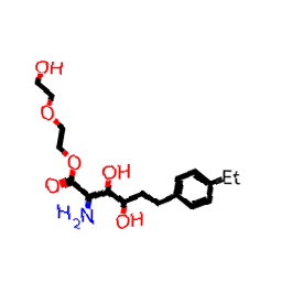 CCc1ccc(CCC(O)C(O)C(N)C(=O)OCCOCCO)cc1